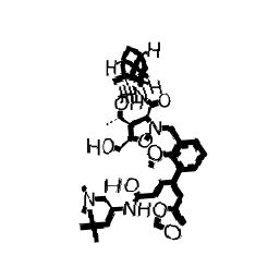 COc1c(CN2O[C@@H](CO)[C@@H]([C@H](C)O)[C@H]2C(=O)N[C@H]2C[C@H]3C[C@@H]([C@@H]2C)C3(C)C)cccc1C(/C=C/C(O)N[C@H](CN(C)C)CC(C)(C)C)=C/C1=COCO1